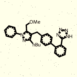 CCCCc1nn(-c2ccccc2)c(COC)c1Cc1ccc(-c2ccccc2-c2nnn[nH]2)cc1